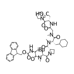 CC[C@H](C)[C@H](NC(=O)OCC1c2ccccc2-c2ccccc21)C(=O)N(C)[C@@H](C)C(=O)N1CC[C@H]1C(=O)N(C)[C@@H](CC1CCCCC1)C(=O)N(C)CC(=O)N[C@@H](CC(=O)O)C(=O)N1CCCC1